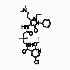 CCOc1ncc(Cl)cc1C(=O)NCC(C)(C)CC(=O)Nc1c(CCN(C)C)n(CC)n(-c2ccccc2)c1=O